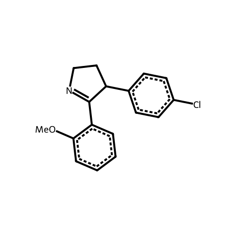 COc1ccccc1C1=NCCC1c1ccc(Cl)cc1